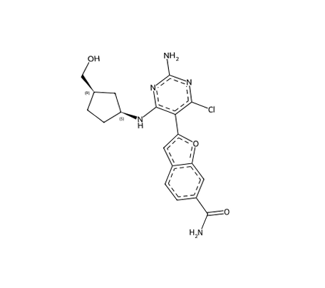 NC(=O)c1ccc2cc(-c3c(Cl)nc(N)nc3N[C@H]3CC[C@@H](CO)C3)oc2c1